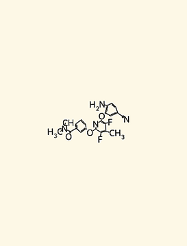 Cc1c(F)c(Oc2cccc(C(=O)N(C)C)c2)nc(Oc2cc(C#N)ccc2N)c1F